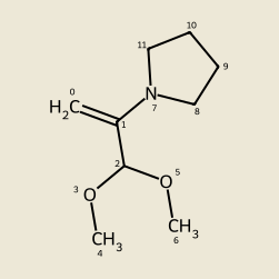 C=C(C(OC)OC)N1CCCC1